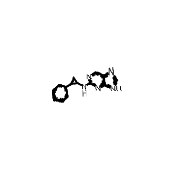 c1ccc(C2CC2Nc2ncc3nc[nH]c3n2)cc1